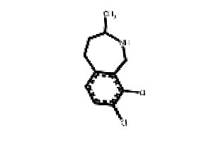 CC1CCc2ccc(Cl)c(Cl)c2CN1